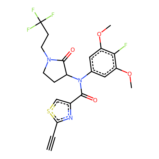 C#Cc1nc(C(=O)N(c2cc(OC)c(F)c(OC)c2)C2CCN(CCC(F)(F)F)C2=O)cs1